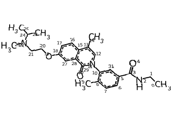 CCNC(=O)c1ccc(C)c(-n2cc(C)c3ccc(OCCN(C)C(C)C)cc3c2=O)c1